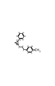 Cc1ccc(CCC[N@@]2CC2c2ccccc2)cc1